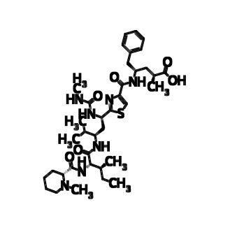 CC[C@H](C)[C@H](NC(=O)[C@H]1CCCCN1C)C(=O)N[C@H](C[C@@H](NC(=O)NC)c1nc(C(=O)N[C@@H](Cc2ccccc2)C[C@H](C)C(=O)O)cs1)C(C)C